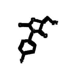 CC(C)C=C1OC(=O)N(c2ccc(F)cc2)C1=O